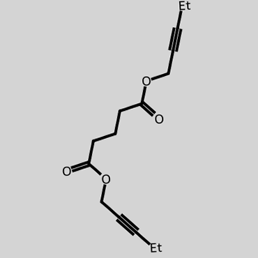 CCC#CCOC(=O)CCCC(=O)OCC#CCC